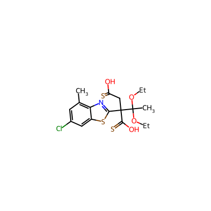 CCOC(C)(OCC)C(CC(O)=S)(C(O)=S)c1nc2c(C)cc(Cl)cc2s1